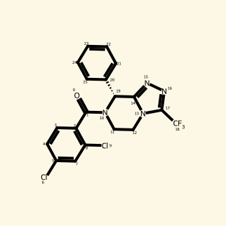 O=C(c1ccc(Cl)cc1Cl)N1CCn2c(nnc2C(F)(F)F)[C@H]1c1ccccc1